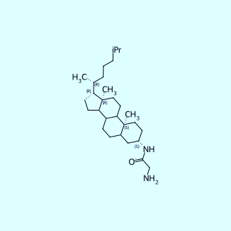 CC(C)CCC[C@@H](C)[C@H]1CCC2C3CCC4C[C@@H](NC(=O)CN)CC[C@]4(C)C3CC[C@@]21C